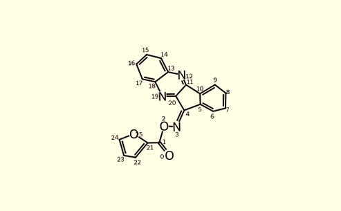 O=C(ON=C1c2ccccc2-c2nc3ccccc3nc21)c1ccco1